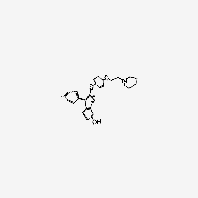 Oc1ccc2c(-c3cc[c]cc3)c(Oc3ccc(OCCN4CCCCC4)cc3)sc2c1